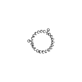 O=C1CCCCCCC(=O)OCCCCCCCCCCCCO1